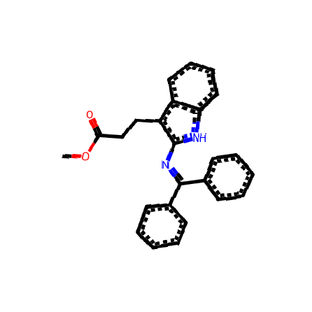 COC(=O)CCc1c(N=C(c2ccccc2)c2ccccc2)[nH]c2ccccc12